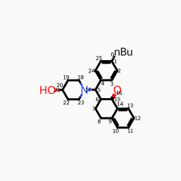 CCCCc1ccc(C(C2CCc3ccccc3C2=O)N2CCC(O)CC2)cc1